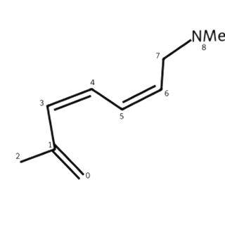 C=C(C)/C=C\C=C/CNC